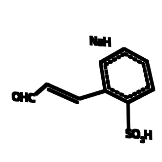 O=C/C=C/c1ccccc1S(=O)(=O)O.[NaH]